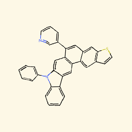 c1ccc(-n2c3ccccc3c3cc4c(cc32)c(-c2cccnc2)cc2cc3sccc3cc24)cc1